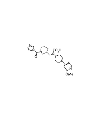 COc1cc(N2CCC(N(CC3CCCN(C(=O)n4ccnc4)C3)C(=O)O)CC2)ncn1